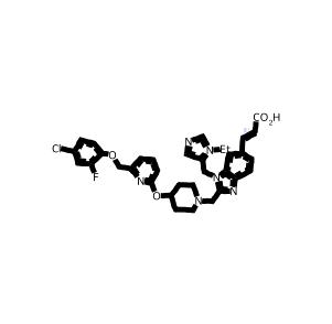 CCn1cncc1Cn1c(CN2CCC(Oc3cccc(COc4ccc(Cl)cc4F)n3)CC2)nc2ccc(/C=C/C(=O)O)cc21